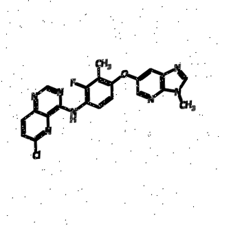 Cc1c(Oc2cnc3c(c2)ncn3C)ccc(Nc2ncnc3ccc(Cl)nc23)c1F